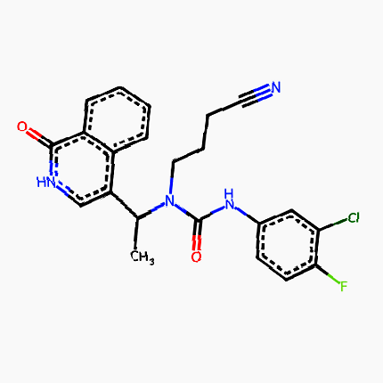 CC(c1c[nH]c(=O)c2ccccc12)N(CCCC#N)C(=O)Nc1ccc(F)c(Cl)c1